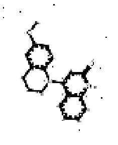 COc1ccc2c(c1)CCCN2c1cc(=O)oc2ccccc12